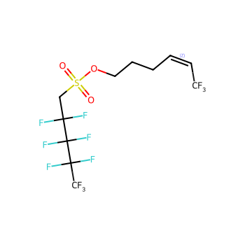 O=S(=O)(CC(F)(F)C(F)(F)C(F)(F)C(F)(F)F)OCCC/C=C\C(F)(F)F